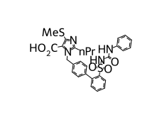 CCCc1nc(SC)c(C(=O)O)n1Cc1ccc(-c2ccccc2S(=O)(=O)NC(=O)Nc2ccccc2)cc1